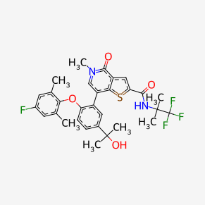 Cc1cc(F)cc(C)c1Oc1ccc(C(C)(C)O)cc1-c1cn(C)c(=O)c2cc(C(=O)NC(C)(C)C(F)(F)F)sc12